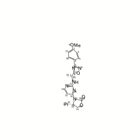 COc1ccc(-c2noc([C@@H](C)Nc3nccc(N4C(=O)OC[C@@H]4C(C)C)n3)n2)cc1